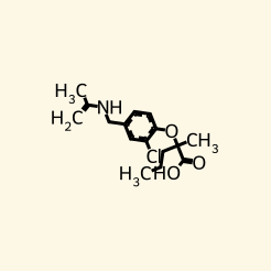 C=C(C)NCc1ccc(OC(C)(CCC)C(=O)O)c(Cl)c1